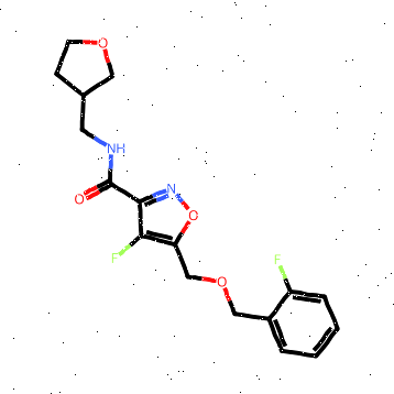 O=C(NCC1CCOC1)c1noc(COCc2ccccc2F)c1F